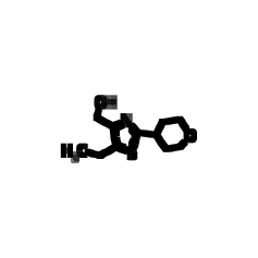 CCc1sc(C2CCOCC2)nc1CO